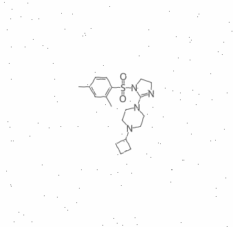 Cc1ccc(S(=O)(=O)N2CCN=C2N2CCN(C3CCC3)CC2)c(C)c1